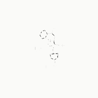 O.OC1=C2C=C(Br)c3ccccc3N2[N]N1c1ccc(OC(F)(F)F)cc1